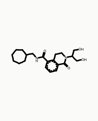 O=C(NCC1CCCCCC1)c1cccc2c1CCN(C(CO)CO)C2=O